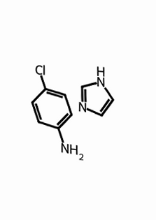 Nc1ccc(Cl)cc1.c1c[nH]cn1